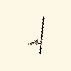 C=CCCCCOC(COCCCCCCCCCCCCCCCC)COP(=O)(O)OCCN